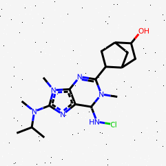 CC(C)N(C)c1nc2c(n1C)N=C(C1CC3CC1CC3O)N(C)C2NCl